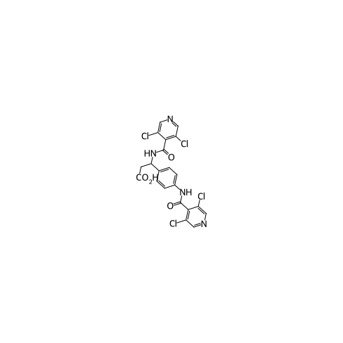 O=C(O)CC(NC(=O)c1c(Cl)cncc1Cl)c1ccc(NC(=O)c2c(Cl)cncc2Cl)cc1